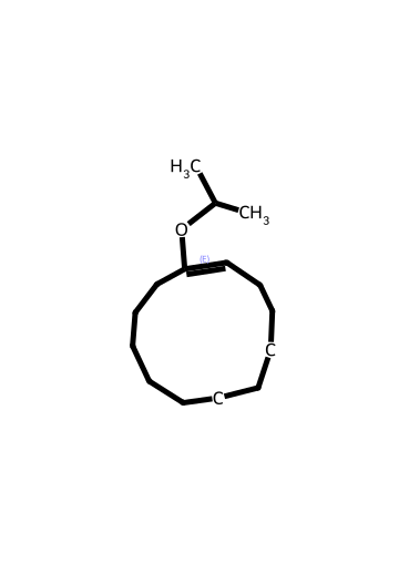 CC(C)O/C1=C/CCCCCCCCCC1